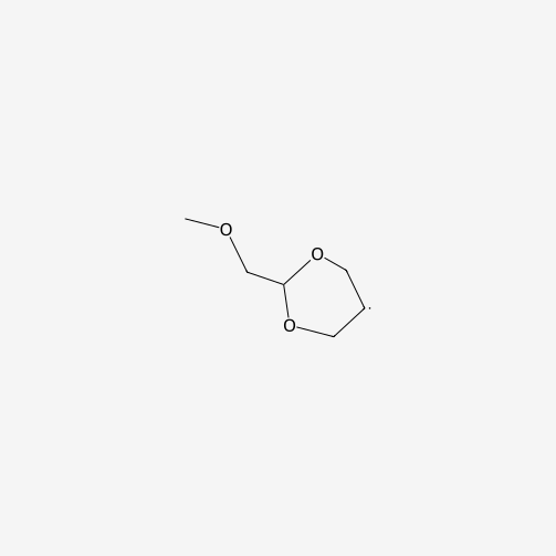 COCC1OC[CH]CO1